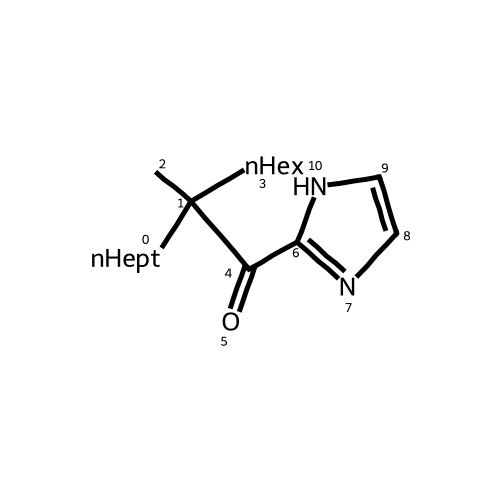 CCCCCCCC(C)(CCCCCC)C(=O)c1ncc[nH]1